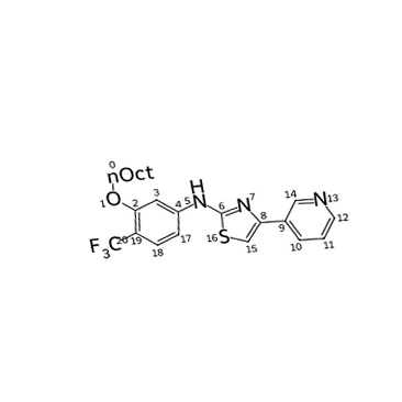 CCCCCCCCOc1cc(Nc2nc(-c3cccnc3)cs2)ccc1C(F)(F)F